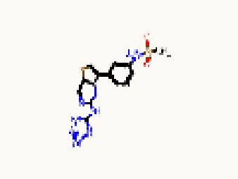 CS(=O)(=O)Nc1cccc(C2=CSC3C=NC(Nc4nnn[nH]4)=NC23)c1